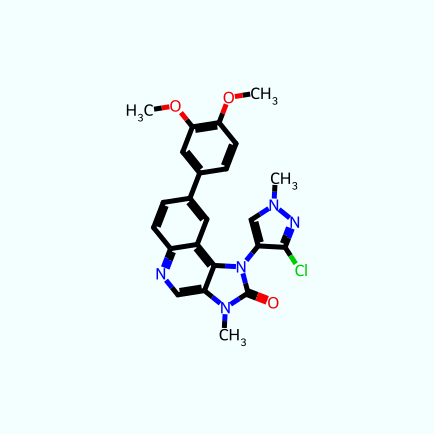 COc1ccc(-c2ccc3ncc4c(c3c2)n(-c2cn(C)nc2Cl)c(=O)n4C)cc1OC